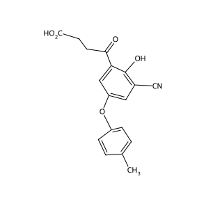 Cc1ccc(Oc2cc(C#N)c(O)c(C(=O)CCC(=O)O)c2)cc1